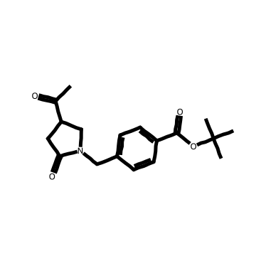 CC(=O)C1CC(=O)N(Cc2ccc(C(=O)OC(C)(C)C)cc2)C1